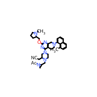 CC(=O)N1CC1CN1CCN(c2nc(OCC3CCCN3C)nc3c2CCN(c2cccc4cccc(C)c24)C3)CC1CC#N